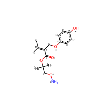 [2H]C([2H])(CON)OC(=O)C(COc1ccc(O)cc1)=C(C)C